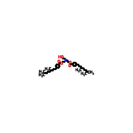 CC(C)=CCC/C(C)=C/CCC1=CCC(C(=O)OCCN(CCO)CCOC(=O)C2CC=C(CC/C=C(\C)CCC=C(C)C)CC2)CC1